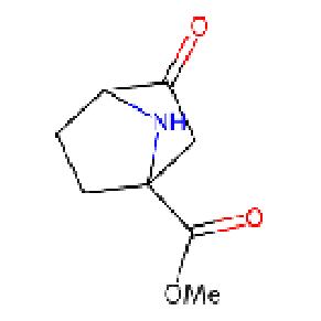 COC(=O)C12CCC(N1)C(=O)C2